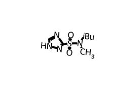 CCC(C)N(C)S(=O)(=O)c1nc[nH]n1